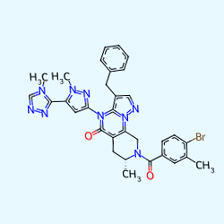 Cc1cc(C(=O)N2Cc3c(c(=O)n(-c4cc(-c5nncn5C)n(C)n4)c4c(Cc5ccccc5)cnn34)C[C@H]2C)ccc1Br